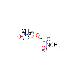 CN(C(=O)CCCOc1ccc2c(c1)CCC(=O)N2C)c1ccco1